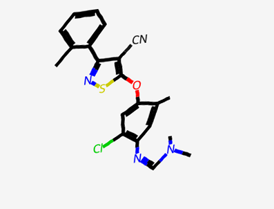 Cc1cc(/N=C\N(C)C)c(Cl)cc1Oc1snc(-c2ccccc2C)c1C#N